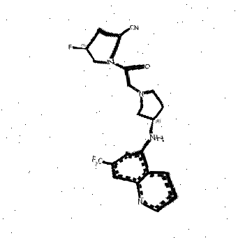 N#CC1C[C@H](F)CN1C(=O)CN1CC[C@@H](Nc2cc(C(F)(F)F)cc3ncccc23)C1